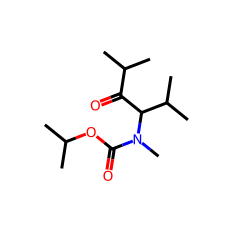 CC(C)OC(=O)N(C)C(C(=O)C(C)C)C(C)C